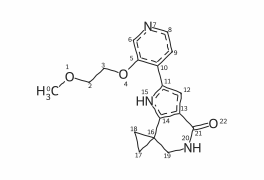 COCCOc1cnccc1-c1cc2c([nH]1)C1(CC1)CNC2=O